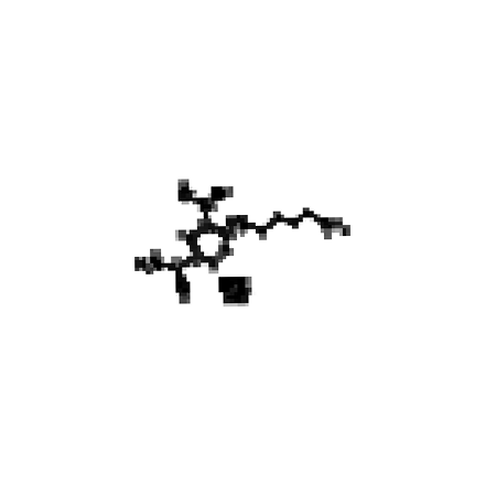 Cl.Cl.NCCCCNc1ccc(C(N)=O)cc1[N+](=O)[O-]